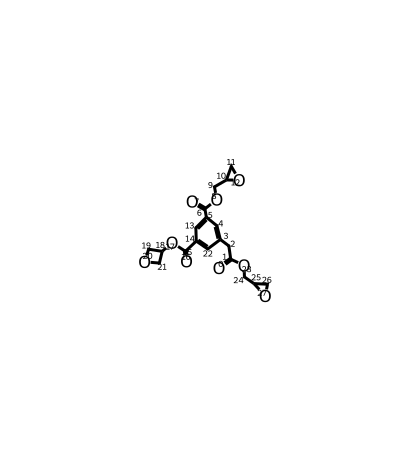 O=C(Cc1cc(C(=O)OCC2CO2)cc(C(=O)OC2COC2)c1)OCC1CO1